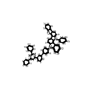 c1ccc(-c2cc(-c3cccc(-c4ccc(-n5c6ccccc6c6c5ccc5c7c8oc9ccccc9c8ccc7n(-c7ccccc7)c56)cc4)c3)nc(-c3ccccc3)n2)cc1